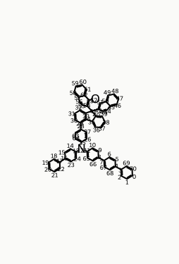 c1ccc(-c2ccc(-c3ccc(N(c4ccc(-c5ccccc5)cc4)c4ccc(-c5cccc6c5-c5ccccc5C65c6ccc7ccccc7c6Oc6c5ccc5ccccc65)cc4)cc3)cc2)cc1